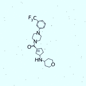 O=C([C@H]1CCC(NC2CCOCC2)C1)N1CCN(c2cccc(C(F)(F)F)c2)CC1